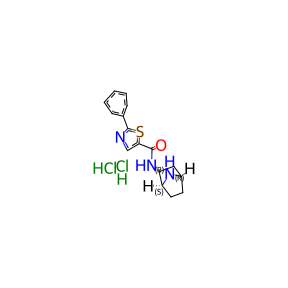 Cl.Cl.O=C(N[C@@H]1C[C@H]2CC[C@@H]1N2)c1cnc(-c2ccccc2)s1